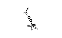 C[C@H](O)c1nccn1[C@@H](/C=C/c1ccc(-c2ccc(C3CC(NCCC#N)C3)cc2)cc1)CO